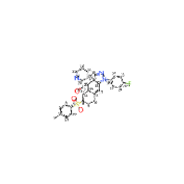 Cc1ccc(S(=O)(=O)[C@@H]2CCC3=Cc4c(cnn4-c4ccc(F)cc4)C[C@]3(C(=O)c3ccccn3)C2)cc1